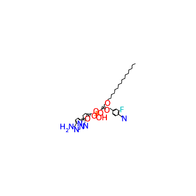 CCCCCCCCCCCCCCCCOC[C@H](COP(=O)(O)OC[C@@H]1CC[C@](C#N)(c2ccc3c(N)ncnn23)O1)OCc1ccc(C#N)c(F)c1